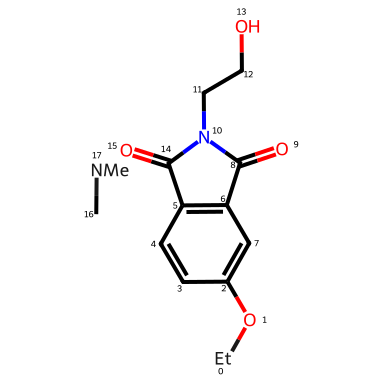 CCOc1ccc2c(c1)C(=O)N(CCO)C2=O.CNC